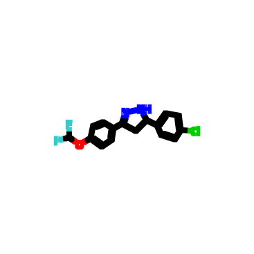 FC(F)Oc1ccc(C2=NNC(c3ccc(Cl)cc3)C2)cc1